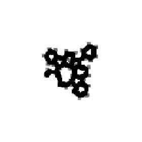 C=C/C1=C\C=C/n2c3ccccc3c3ccc4c(c5c(n4-c4ccccc4)C=CC4C6=C(CCC=C6)N1C54)c32